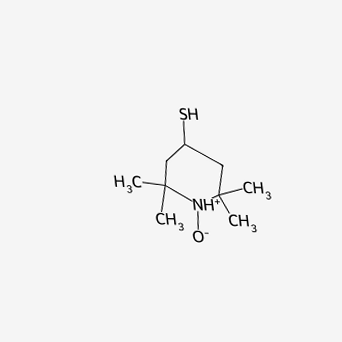 CC1(C)CC(S)CC(C)(C)[NH+]1[O-]